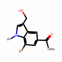 COC(=O)c1cc(Br)c2c(c1)c(CO)cn2C(C)C